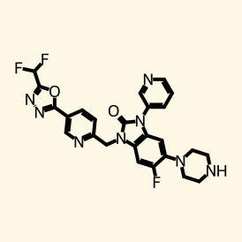 O=c1n(Cc2ccc(-c3nnc(C(F)F)o3)cn2)c2cc(F)c(N3CCNCC3)cc2n1-c1cccnc1